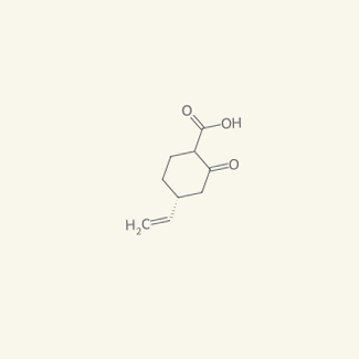 C=C[C@@H]1CCC(C(=O)O)C(=O)C1